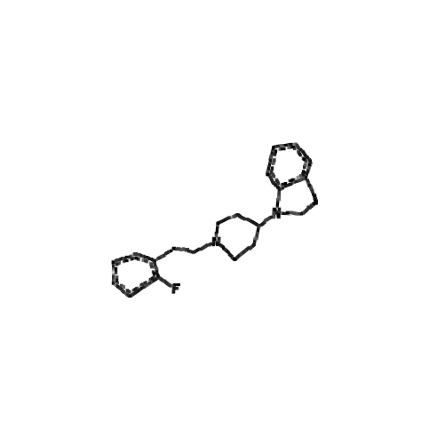 Fc1ccccc1CCN1CCC(N2CCc3ccccc32)CC1